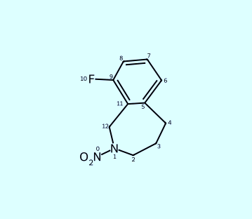 O=[N+]([O-])N1CCCc2cccc(F)c2C1